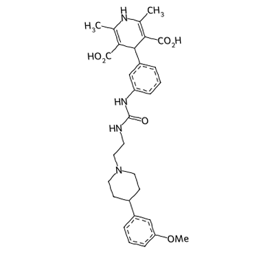 COc1cccc(C2CCN(CCNC(=O)Nc3cccc(C4C(C(=O)O)=C(C)NC(C)=C4C(=O)O)c3)CC2)c1